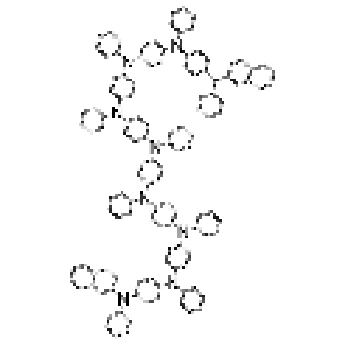 c1ccc(C(c2ccc(N(c3ccccc3)c3ccc(N(c4ccccc4)c4ccc(N(c5ccccc5)c5ccc(N(c6ccccc6)c6ccc(N(c7ccccc7)c7ccc(N(c8ccccc8)c8ccc(N(c9ccccc9)c9ccc(N(c%10ccccc%10)c%10ccc%11ccccc%11c%10)cc9)cc8)cc7)cc6)cc5)cc4)cc3)cc2)c2ccc3ccccc3c2)cc1